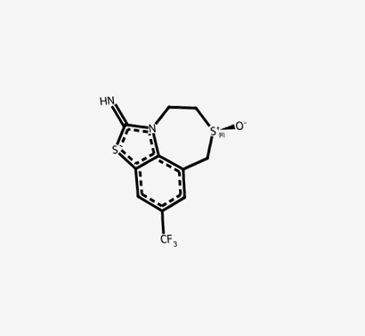 N=c1sc2cc(C(F)(F)F)cc3c2n1CC[S@@+]([O-])C3